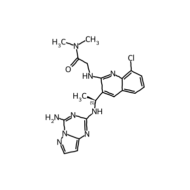 C[C@H](Nc1nc(N)n2nccc2n1)c1cc2cccc(Cl)c2nc1NCC(=O)N(C)C